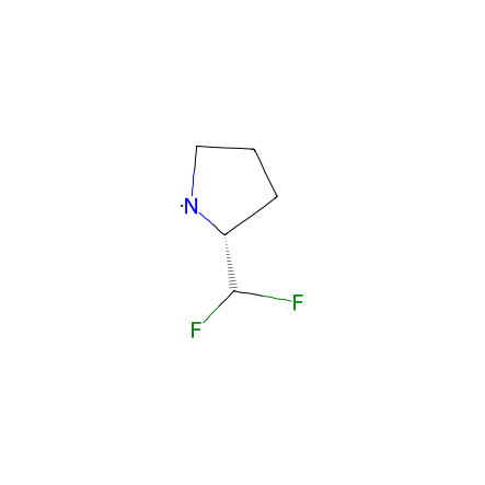 FC(F)[C@H]1CCC[N]1